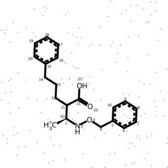 C[C@H](NOCc1ccccc1)C(CCCc1ccccc1)C(=O)O